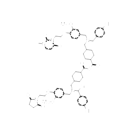 CCC(c1ccc(Cl)cc1)N(Cc1ccc(OCCN2C(=O)CCC2=O)c(OC)c1)CC1CCC(C(=O)OC(=O)C2CCC(CN(Cc3ccc(OCCn4c(=O)ccn(C)c4=O)c(OC)c3)[C@@H](C)c3ccc(Cl)cc3)CC2)CC1